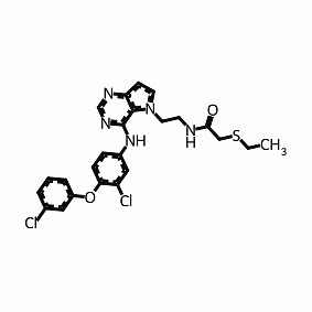 CCSCC(=O)NCCn1ccc2ncnc(Nc3ccc(Oc4cccc(Cl)c4)c(Cl)c3)c21